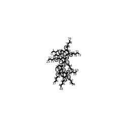 CCCCOCC1OC(OC2C(OCCCC)C(COCCCC)OC(OC3CCOC(COCCCC)C3OC3OC=C(OCCCC)C(OCCCC)C3OCCCC)C2OCCCC)C(OCCCC)C=C1OCCCC